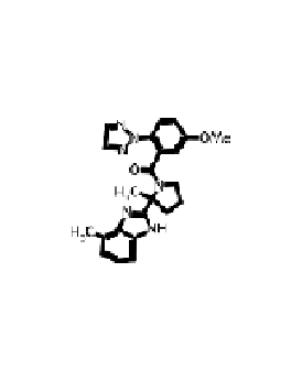 COc1ccc(-n2nccn2)c(C(=O)N2CCCC2(C)c2nc3c(C)cccc3[nH]2)c1